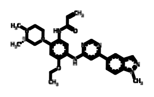 C=CC(=O)Nc1cc(Nc2cc(-c3ccc4c(cnn4C)c3)ncn2)c(OCC)cc1N1CCN(C)[C@@H](C)C1